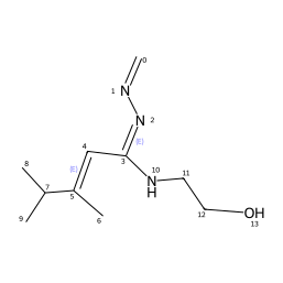 C=N/N=C(\C=C(/C)C(C)C)NCCO